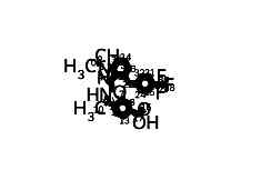 CC(C)n1nc(C(=O)N[C@@H](C)c2ccc(C(=O)O)cc2)c2c(Cc3ccc(C(F)(F)F)cc3)cccc21